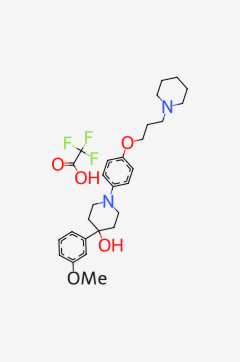 COc1cccc(C2(O)CCN(c3ccc(OCCCN4CCCCC4)cc3)CC2)c1.O=C(O)C(F)(F)F